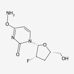 NOc1ccn([C@@H]2O[C@H](CO)C[C@@H]2F)c(=O)n1